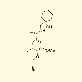 C#CCOc1c(C)cc(C(=O)NCC2(O)CCCCC2)cc1OC